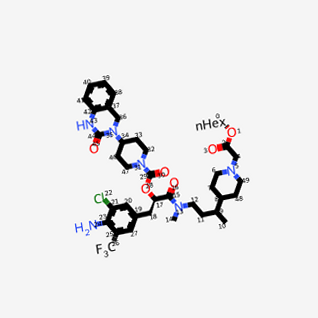 CCCCCCOC(=O)CN1CCC(C(C)CCN(C)C(=O)[C@@H](Cc2cc(Cl)c(N)c(C(F)(F)F)c2)OC(=O)N2CCC(N3Cc4ccccc4NC3=O)CC2)CC1